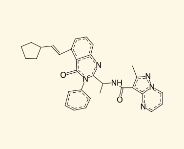 Cc1nn2cccnc2c1C(=O)NC(C)c1nc2cccc(/C=C/C3CCCC3)c2c(=O)n1-c1ccccc1